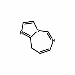 C1=CN=Cn2ccnc2C1